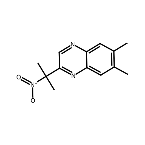 Cc1cc2ncc(C(C)(C)[N+](=O)[O-])nc2cc1C